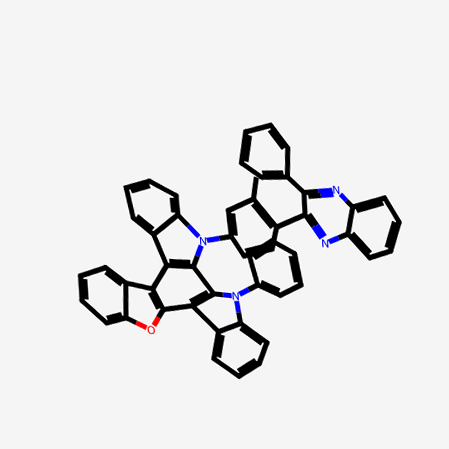 Cc1cc(-n2c3ccccc3c3c4c5ccccc5oc4c4c5ccccc5n(-c5ccccc5)c4c32)ccc1-c1nc2ccccc2nc1-c1ccccc1